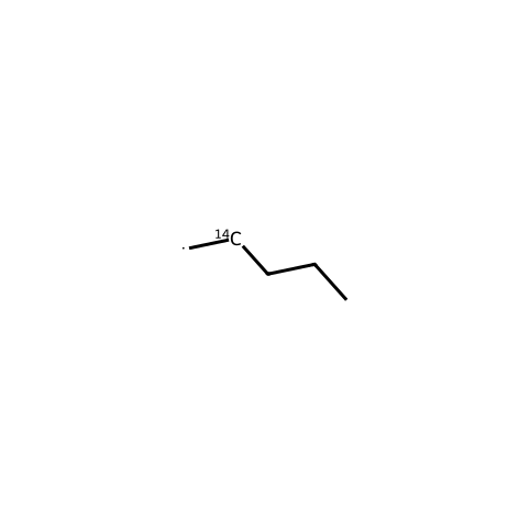 [CH2][14CH2]CCC